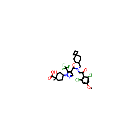 COc1cc(Cl)c(C(=O)CN(CC2CCC3(CCC3)CC2)C(=O)c2cnn(C3CCC(C)(C(=O)O)CC3)c2C(F)(F)F)c(Cl)c1